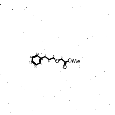 COC(=O)COCCCc1ccccc1